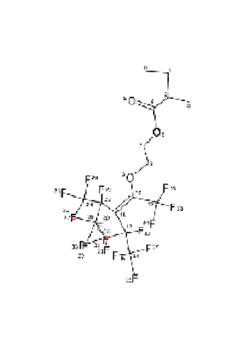 CCC(C)C(=O)OCCOC(=C(C(F)(C(F)(F)F)C(F)(F)F)C(F)(C(F)(F)F)C(F)(F)F)C(F)(F)F